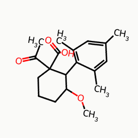 COC1CCCC(C(C)=O)(C(=O)O)C1c1c(C)cc(C)cc1C